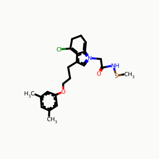 CSNC(=O)Cn1cc(CCCOc2cc(C)cc(C)c2)c2c1=CCCC=2Cl